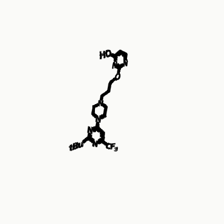 CC(C)(C)c1nc(N2CCN(CCCOc3nccc(O)n3)CC2)cc(C(F)(F)F)n1